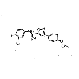 COc1ccc(-c2cc(C(=N)Nc3ccc(F)c(Cl)c3)on2)cc1